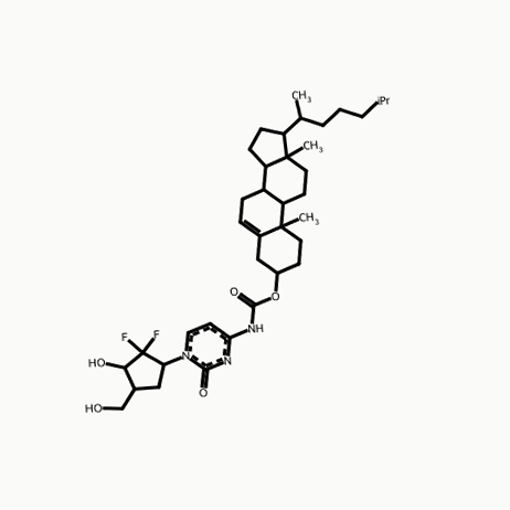 CC(C)CCCC(C)C1CCC2C3CC=C4CC(OC(=O)Nc5ccn(C6CC(CO)C(O)C6(F)F)c(=O)n5)CCC4(C)C3CCC12C